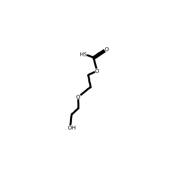 O=C(S)OCCOCCO